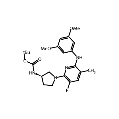 COc1cc(Nc2nc(N3CC[C@@H](NC(=O)OC(C)(C)C)C3)c(F)cc2C)cc(OC)c1